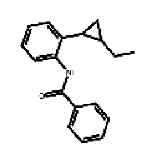 CCC1CC1c1ccccc1NC(=O)c1ccccc1